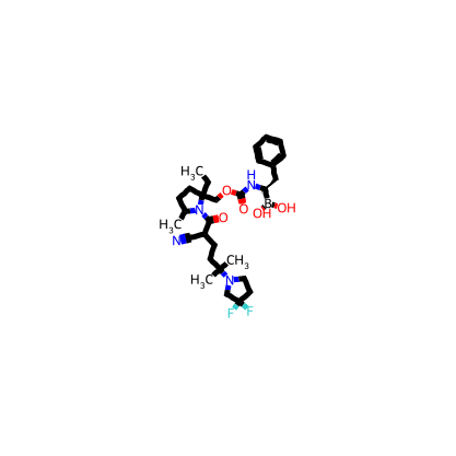 CCC1(COC(=O)N[C@@H](Cc2ccccc2)B(O)O)CCC(C)N1C(=O)C(C#N)CCC(C)(C)N1CCC(F)(F)C1